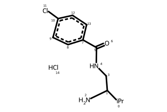 CC(C)C(N)CNC(=O)c1ccc(Cl)cc1.Cl